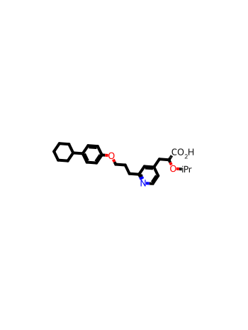 CC(C)OC(Cc1ccnc(CCCOc2ccc(C3CCCCC3)cc2)c1)C(=O)O